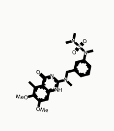 COc1cc2[nH]c(N(C)Cc3cccc(N(C)S(=O)(=O)N(C)C)c3)nc(=O)c2c(C)c1OC